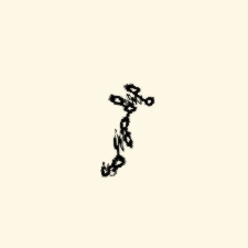 c1ccc(-c2cc(-c3ccccc3)nc(-n3c4ccccc4c4cc(-c5ccc6c(c5)c5ccccc5n6-c5nccc(-c6ccc7sc8cccnc8c7c6)n5)ccc43)n2)cc1